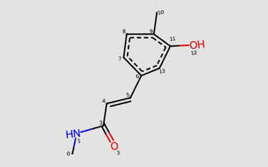 CNC(=O)/C=C/c1ccc(C)c(O)c1